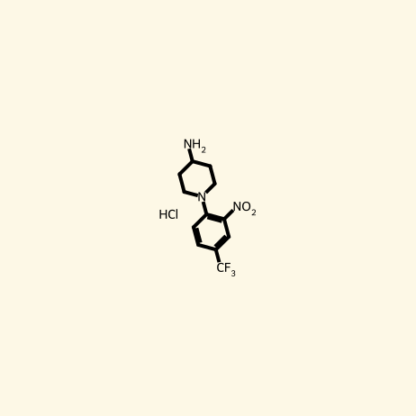 Cl.NC1CCN(c2ccc(C(F)(F)F)cc2[N+](=O)[O-])CC1